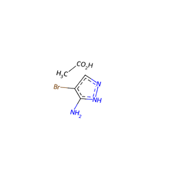 CC(=O)O.Nc1[nH]ncc1Br